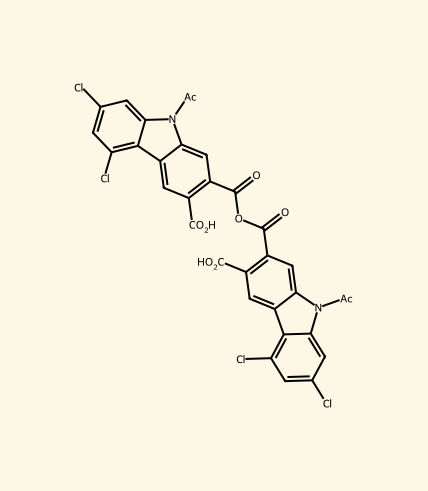 CC(=O)n1c2cc(C(=O)OC(=O)c3cc4c(cc3C(=O)O)c3c(Cl)cc(Cl)cc3n4C(C)=O)c(C(=O)O)cc2c2c(Cl)cc(Cl)cc21